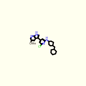 COc1cnc2[nH]cc(-c3cc(Cl)nc(NC4CCC(CC5CC[CH]CC5)CC4)c3)c2c1